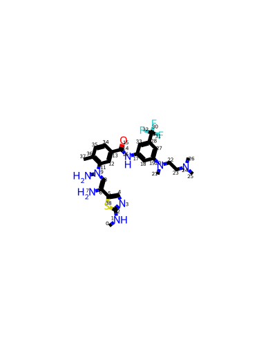 CNc1ncc(/C(N)=C/N(N)c2cc(C(=O)Nc3cc(N(C)CCN(C)C)cc(C(F)(F)F)c3)ccc2C)s1